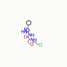 CCC(NC(=O)CCCl)C(=O)Nc1cc(-c2ccccc2)n[nH]1